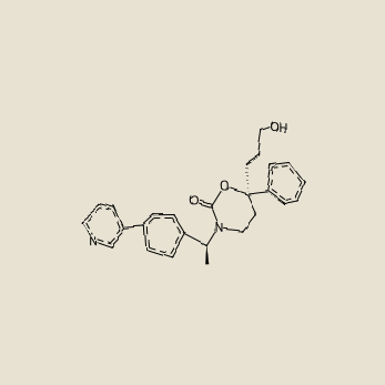 C[C@@H](c1ccc(-c2cccnc2)cc1)N1CC[C@](CCCO)(c2ccccc2)OC1=O